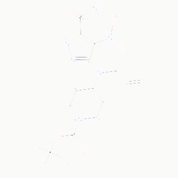 C=CCN(c1n[nH]c(C(N)=O)c1[N+](=O)[O-])C1CCN(C(=O)OC(C)(C)C)CC1